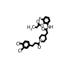 CCC(=O)Oc1c(F)cccc1NC(=O)CC1CCN(C(=O)CCc2ccc(Cl)c(Cl)c2)CC1